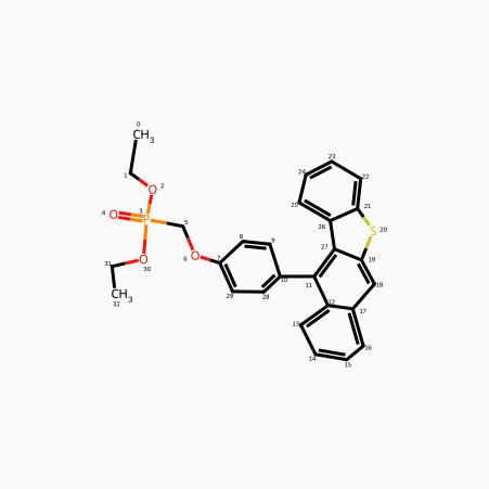 CCOP(=O)(COc1ccc(-c2c3ccccc3cc3sc4ccccc4c23)cc1)OCC